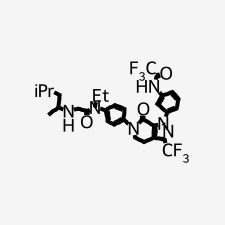 CCN(C(=O)CNC(C)CC(C)C)c1ccc(N2CCc3c(C(F)(F)F)nn(-c4cccc(NC(=O)C(F)(F)F)c4)c3C2=O)cc1